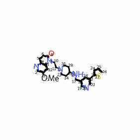 COc1cnc2ccc(=O)n(CCN3CCC(NCc4cncc(-c5cccs5)c4)CC3)c2c1